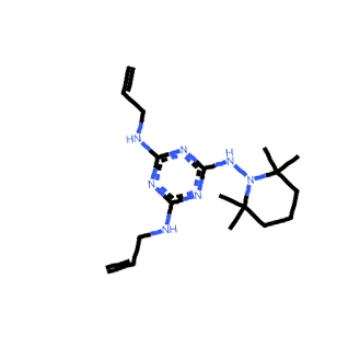 C=CCNc1nc(NCC=C)nc(NN2C(C)(C)CCCC2(C)C)n1